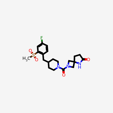 CS(=O)(=O)c1cc(F)ccc1CC1CCN(C(=O)N2CC3(CCC(=O)N3)C2)CC1